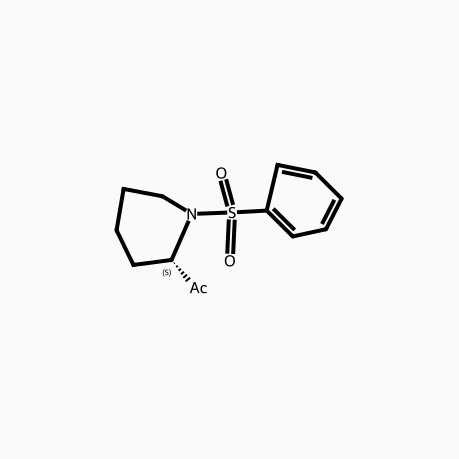 CC(=O)[C@@H]1CCCCN1S(=O)(=O)c1ccccc1